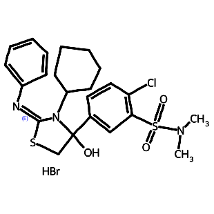 Br.CN(C)S(=O)(=O)c1cc(C2(O)CS/C(=N/c3ccccc3)N2C2CCCCC2)ccc1Cl